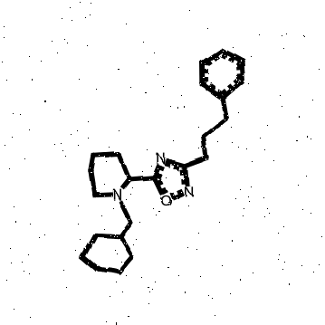 c1ccc(CCCc2noc(C3CCCCN3CC3CCCCC3)n2)cc1